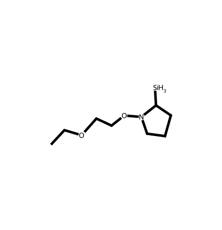 CCOCCON1CCCC1[SiH3]